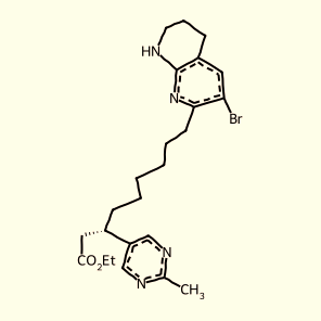 CCOC(=O)C[C@H](CCCCCCc1nc2c(cc1Br)CCCN2)c1cnc(C)nc1